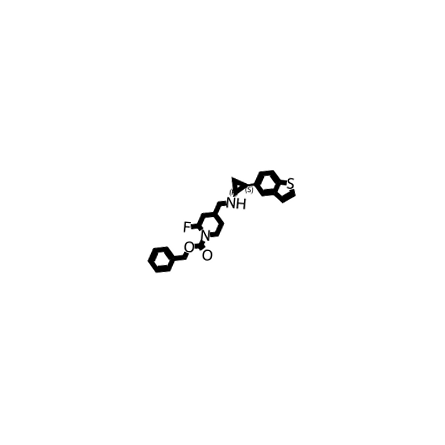 O=C(OCc1ccccc1)N1CCC(CN[C@@H]2C[C@H]2c2ccc3sccc3c2)CC1F